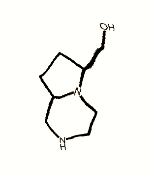 OCC1CCC2CNCCN12